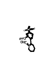 COc1cc(S(C)(=O)=O)ccc1C1CCCCCN1C=O